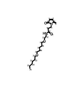 C=C1C=CC(=O)N1CCC(=O)NCCOCCCCCOCCCCCC